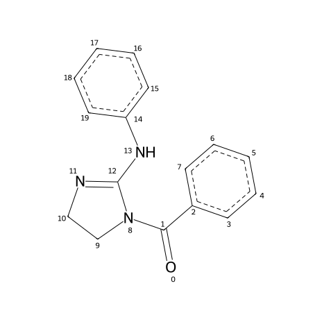 O=C(c1ccccc1)N1CCN=C1Nc1ccccc1